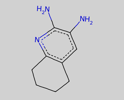 Nc1cc2c(nc1N)CCCC2